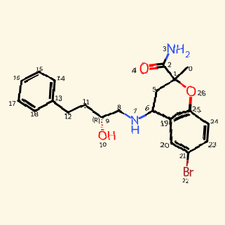 CC1(C(N)=O)CC(NC[C@H](O)[CH]Cc2ccccc2)c2cc(Br)ccc2O1